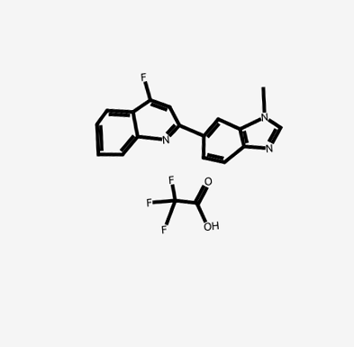 Cn1cnc2ccc(-c3cc(F)c4ccccc4n3)cc21.O=C(O)C(F)(F)F